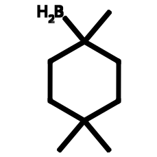 BC1(C)CCC(C)(C)CC1